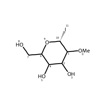 COC1C(O)C(O)C(CO)O[C@@H]1I